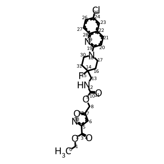 CCOC(=O)c1cc(COC(=O)NCC2(F)CCN(c3ccc4cc(Cl)ccc4n3)CC2)on1